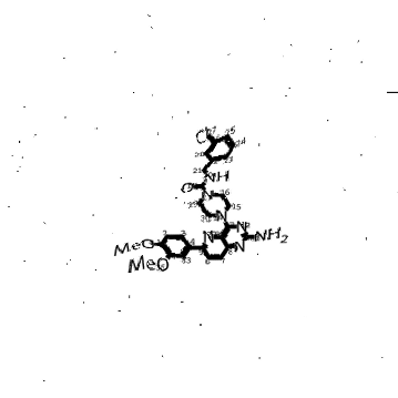 COc1ccc(-c2ccc3nc(N)nc(N4CCN(C(=O)NCc5cccc(Cl)c5)CC4)c3n2)cc1OC